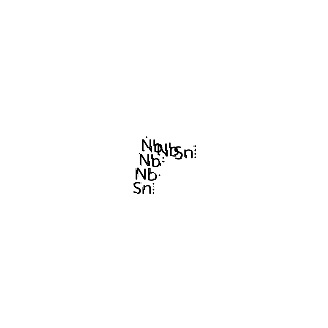 [Nb].[Nb].[Nb].[Nb].[Sn].[Sn]